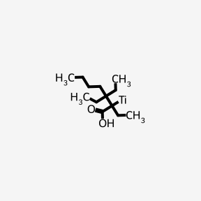 CCCCC(CC)(CC)[C]([Ti])(CC)C(=O)O